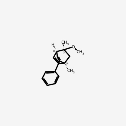 CO[C@@]1(C)C[C@@]2(C)C=C[C@@H]1C=C2c1ccccc1